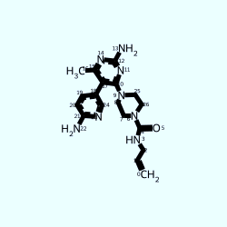 C=CCNC(=O)N1CCN(c2nc(N)nc(C)c2-c2ccc(N)nc2)CC1